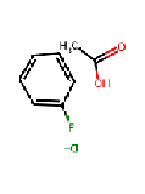 CC(=O)O.Cl.Fc1ccccc1